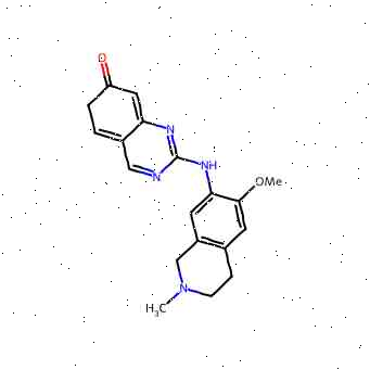 COc1cc2c(cc1Nc1ncc3c(n1)=CC(=O)CC=3)CN(C)CC2